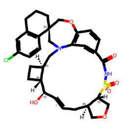 O=C1NS(=O)(=O)[C@@H]2COC[C@H]2C/C=C/[C@@H](O)[C@@H]2CC[C@H]2CN2C[C@@]3(CCCc4cc(Cl)ccc43)COc3ccc1cc32